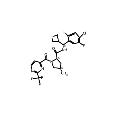 C[C@@H]1C[C@H](C(=O)N[C@@H](c2cc(F)c(Cl)cc2F)C2COC2)N(C(=O)c2ccnc(C(F)(F)F)n2)C1